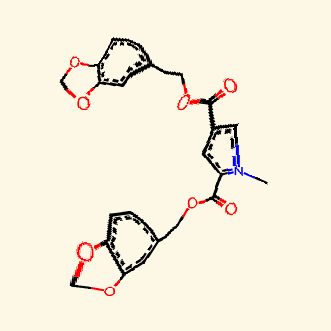 Cn1cc(C(=O)OCc2ccc3c(c2)OCO3)cc1C(=O)OCc1ccc2c(c1)OCO2